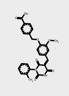 COc1cc(/C=C2/C(=O)NC(=S)N(c3ccccc3C)C2=O)ccc1OCc1ccc(C(=O)O)cc1